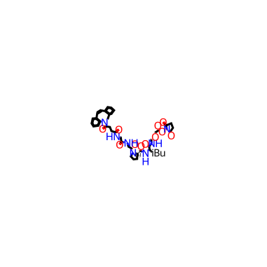 CCC(C)C(NC(=O)[C@@H]1CCCN1C(=O)CNC(=O)CNC(=O)CCC(=O)N1Cc2ccccc2C#Cc2ccccc21)C(=O)NCOCC(=O)ON1C(=O)CCC1=O